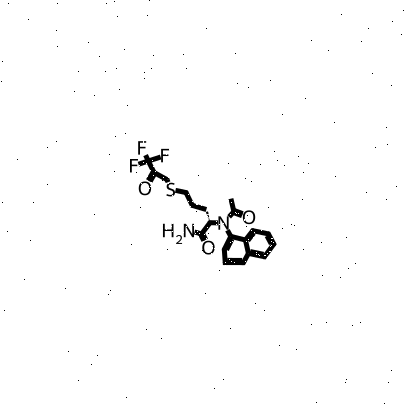 CC(=O)N(c1cccc2ccccc12)[C@@H](CCCSCC(=O)C(F)(F)F)C(N)=O